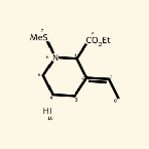 CC=C1CCCN(SC)C1C(=O)OCC.I